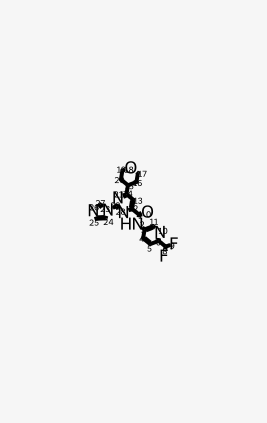 O=C(Nc1ccc(C(F)F)nc1)c1cc(C2CCOCC2)nc(-n2ccnc2)n1